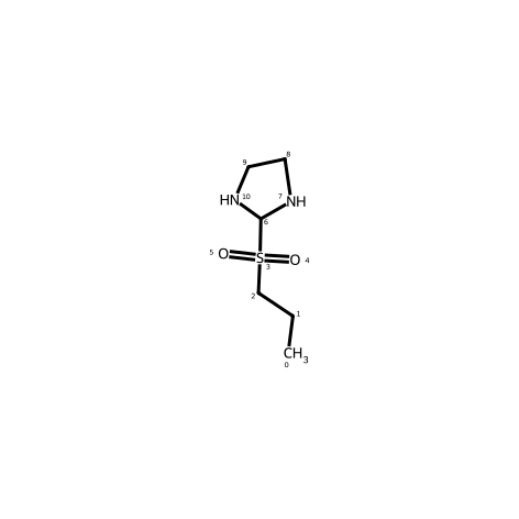 CCCS(=O)(=O)C1NCCN1